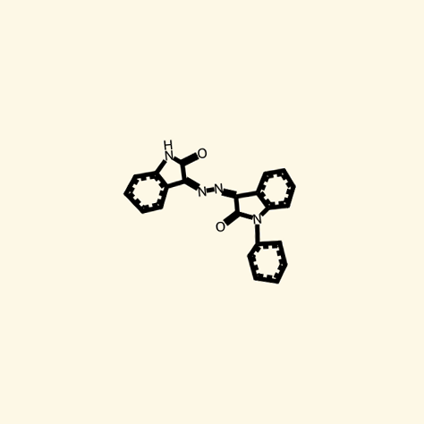 O=C1Nc2ccccc2C1=NN=C1C(=O)N(c2ccccc2)c2ccccc21